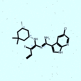 C=C/C(F)=C(\N=C(/N)c1c[nH]c2ncc(Cl)cc12)N[C@H]1C[C@@H](C)CC(C)(C)C1